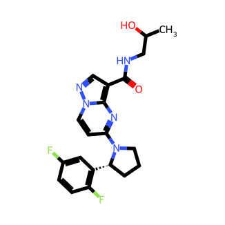 CC(O)CNC(=O)c1cnn2ccc(N3CCC[C@@H]3c3cc(F)ccc3F)nc12